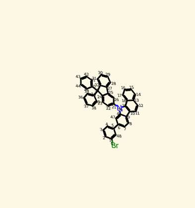 Brc1cccc(-c2ccc3c4ccc5ccccc5c4n(-c4ccc5c(c4)-c4ccccc4C5(c4ccccc4)c4ccccc4)c3c2)c1